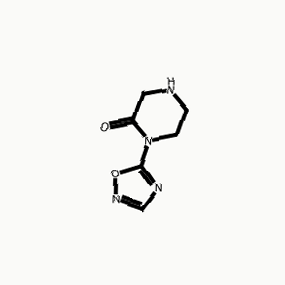 O=C1CNCCN1c1ncno1